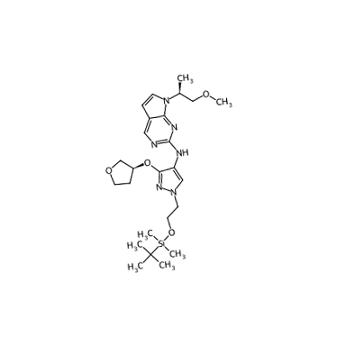 COC[C@H](C)n1ccc2cnc(Nc3cn(CCO[Si](C)(C)C(C)(C)C)nc3O[C@H]3CCOC3)nc21